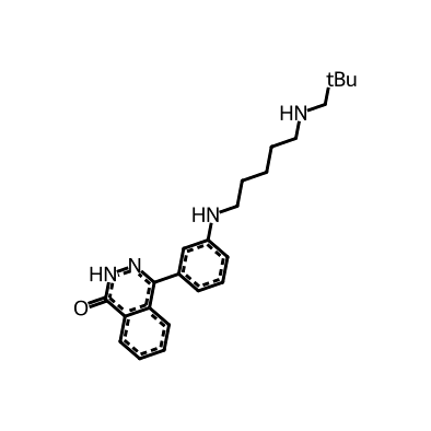 CC(C)(C)CNCCCCCNc1cccc(-c2n[nH]c(=O)c3ccccc23)c1